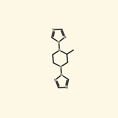 CC1CN(n2cncn2)CCN1n1cncn1